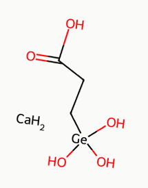 O=C(O)C[CH2][Ge]([OH])([OH])[OH].[CaH2]